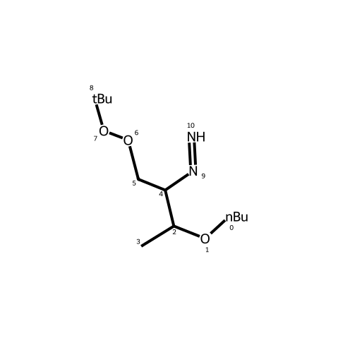 CCCCOC(C)C(COOC(C)(C)C)N=N